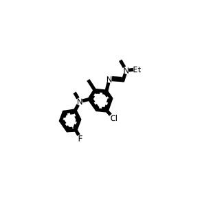 CCN(C)C=Nc1cc(Cl)cc(N(C)c2cccc(F)c2)c1C